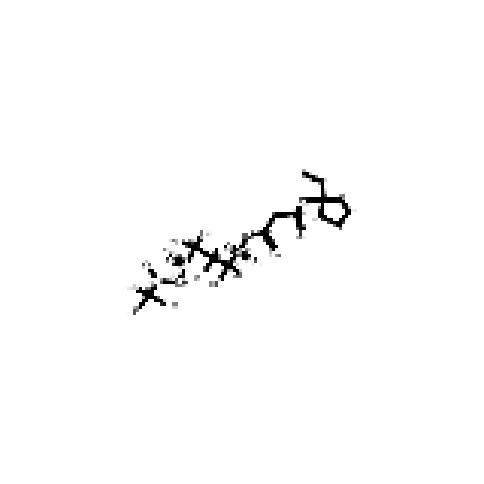 CCC1(OC(=O)CC(=O)NS(=O)(=O)C(F)(F)C(F)(F)C(F)(F)S(=O)(=O)N[S+]([O-])C(F)(F)F)CCCC1